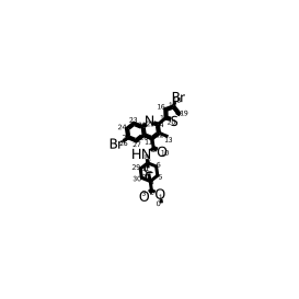 COC(=O)C12CCC(NC(=O)c3c(C)c(-c4cc(Br)cs4)nc4ccc(Br)cc34)(CC1)CC2